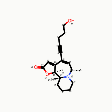 C[C@H]1C=C(C#CCCCO)C2=CC(=O)O[C@]2(C)[C@H]2CCCCN12